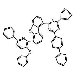 c1ccc(-c2ccc(-c3nc(-c4ccccc4)nc(-c4cccc5sc6c(-c7nc(-c8ccccc8)nc8c7sc7ccccc78)cccc6c45)n3)cc2)cc1